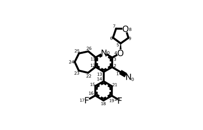 N#Cc1c(O[C@H]2CCOC2)nc2c(c1-c1cc(F)cc(F)c1)CCCCC2